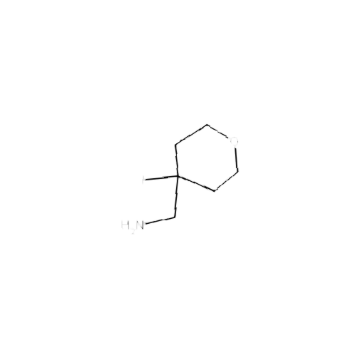 NCC1(I)CCOCC1